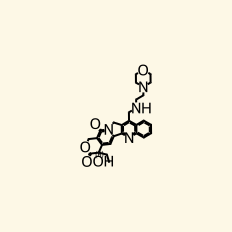 CC[C@@]1(O)C(=O)OCc2c1cc1n(c2=O)Cc2c-1nc1ccccc1c2CNCCN1CCOCC1